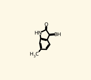 B=C1C(=O)Nc2cc(C)ccc21